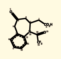 O=C(O)CC1CC(=O)Cc2ccccc2N1C(=O)C(F)(F)F